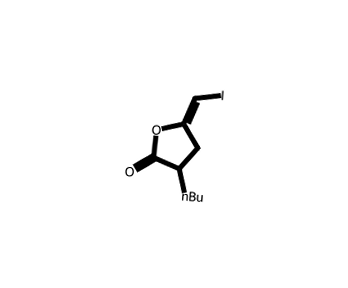 CCCCC1C/C(=C\I)OC1=O